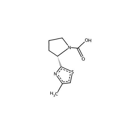 Cc1csc([C@@H]2CCCN2C(=O)O)n1